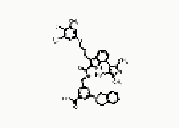 Cc1cc(OCCCc2c(C(=O)NCc3cc(C(=O)O)cc(N4CCc5ccccc5C4)n3)[nH]c3c(-c4c(C)nn(C)c4C)cccc23)cc(C)c1Cl